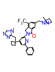 Cn1cnnc1CC1(c2cc(-c3ccccc3)nc(N3Cc4c(cc(CNC5(C)CCC5)cc4C(F)(F)F)C3=O)c2)CCC1